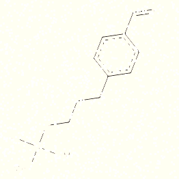 C=Cc1ccc(CCCO[Si](CC)(OC)OC)cc1